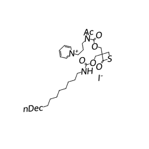 CCCCCCCCCCCCCCCCCCNC(=O)OCC1(COC(=O)N(CCC[n+]2ccccc2)C(C)=O)CSC1=O.[I-]